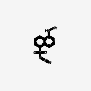 CCCNc1cccc2c(S(=O)(=O)N=[N+]=[N-])cccc12